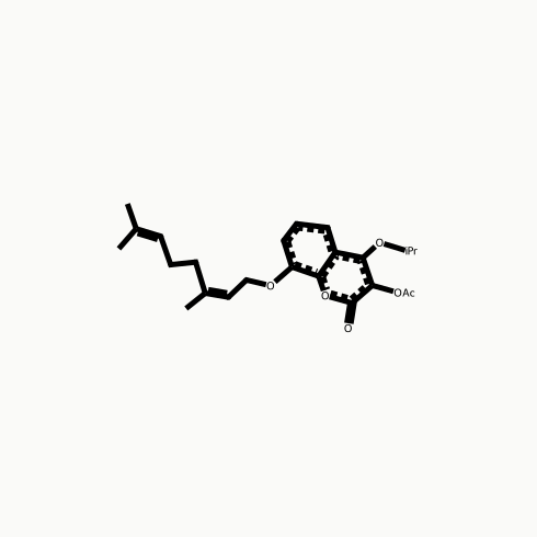 CC(=O)Oc1c(OC(C)C)c2cccc(OCC=C(C)CCC=C(C)C)c2oc1=O